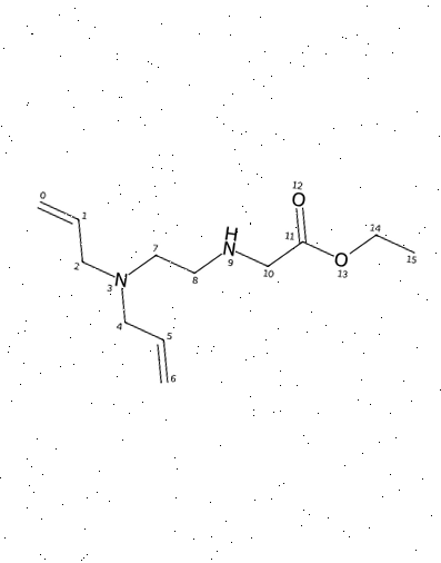 C=CCN(CC=C)CCNCC(=O)OCC